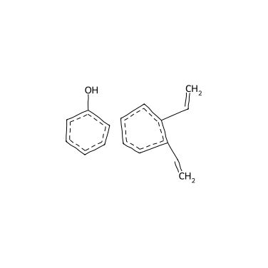 C=Cc1ccccc1C=C.Oc1ccccc1